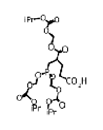 CC(C)OC(=O)OCOC(=O)C(CCC(=O)O)CP(OCOC(=O)OC(C)C)OCOC(=O)OC(C)C